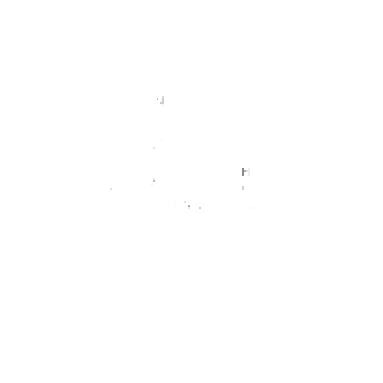 COc1ccc(NC[C@]2(C(=O)C3CC3)CCNC2)c([N+](=O)[O-])c1